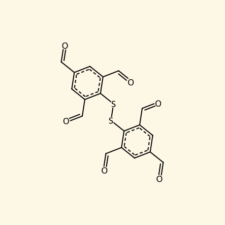 O=Cc1cc(C=O)c(SSc2c(C=O)cc(C=O)cc2C=O)c(C=O)c1